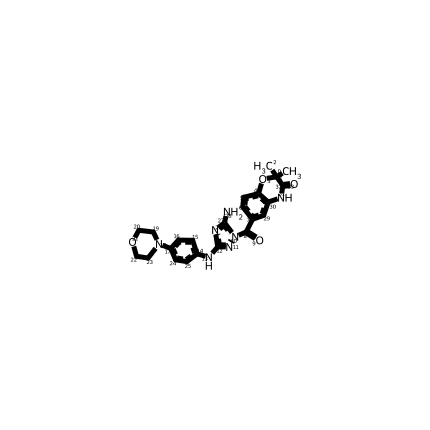 CC1(C)Oc2ccc(C(=O)n3nc(Nc4ccc(N5CCOCC5)cc4)nc3N)cc2NC1=O